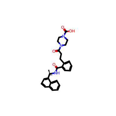 C[C@@H](NC(=O)c1ccccc1CCC(=O)N1CCN(C(=O)O)CC1)c1cccc2ccccc12